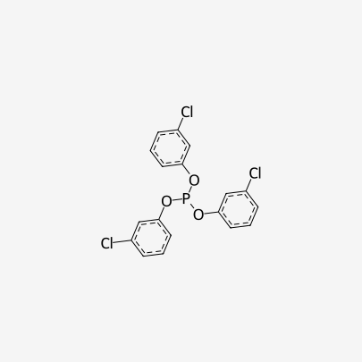 Clc1cccc(OP(Oc2cccc(Cl)c2)Oc2cccc(Cl)c2)c1